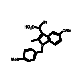 COc1ccc2c(c1)c(C(C(=O)O)C(C)C)c(C)n2Cc1ccc(SC)cc1